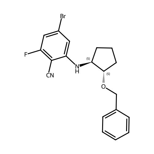 N#Cc1c(F)cc(Br)cc1N[C@H]1CCC[C@@H]1OCc1ccccc1